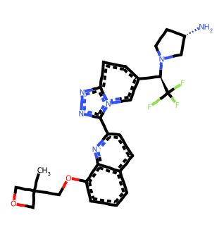 CC1(COc2cccc3ccc(-c4nnc5ccc([C@@H](N6CC[C@H](N)C6)C(F)(F)F)cn45)nc23)COC1